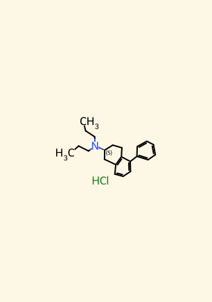 CCCN(CCC)[C@H]1CCc2c(cccc2-c2ccccc2)C1.Cl